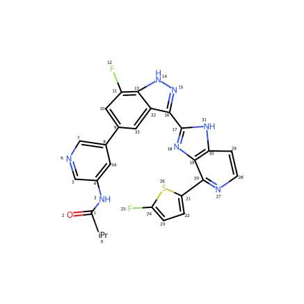 CC(C)C(=O)Nc1cncc(-c2cc(F)c3[nH]nc(-c4nc5c(-c6ccc(F)s6)nccc5[nH]4)c3c2)c1